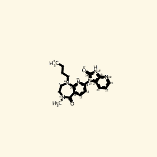 CCCCN1CCN(C)C(=O)c2ccc(-n3c(=O)[nH]c4ncccc43)nc21